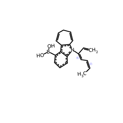 C=C/C(=C\C=C/C)n1c2c(c3c(B(O)O)cccc31)C=CCC=C2